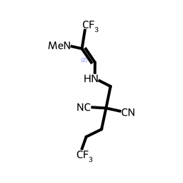 CN/C(=C\NCC(C#N)(C#N)CCC(F)(F)F)C(F)(F)F